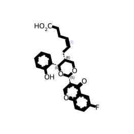 O=C(O)CC/C=C\C[C@@H]1CO[C@H](c2coc3ccc(F)cc3c2=O)O[C@@H]1c1ccccc1O